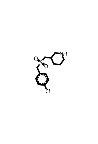 O=S(=O)(Cc1ccc(Cl)cc1)CC1CCCNC1